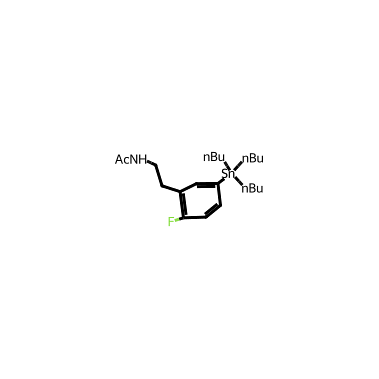 CCC[CH2][Sn]([CH2]CCC)([CH2]CCC)[c]1ccc(F)c(CCNC(C)=O)c1